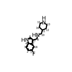 Fc1ccc2[nH]cc(CNCC3CCNCC3)c2c1